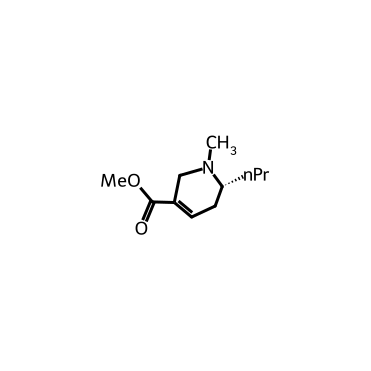 CCC[C@@H]1CC=C(C(=O)OC)CN1C